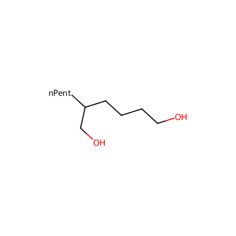 CCCCCC(CO)CCCCO